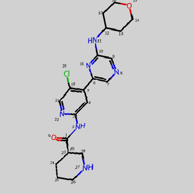 O=C(Nc1cc(-c2cncc(NC3CCOCC3)n2)c(Cl)cn1)[C@@H]1CCCNC1